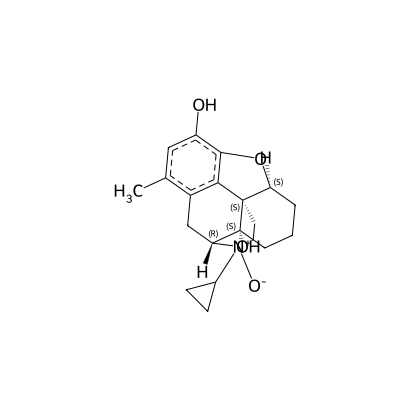 Cc1cc(O)c2c3c1C[C@@H]1[C@]4(O)CCC[C@H](O2)[C@]34CC[N+]1([O-])C1CC1